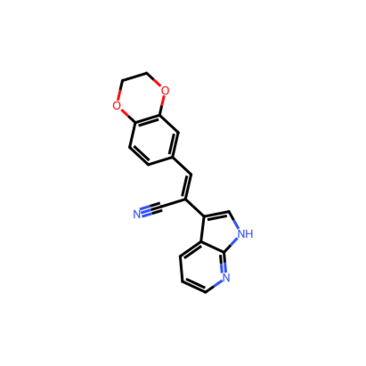 N#CC(=Cc1ccc2c(c1)OCCO2)c1c[nH]c2ncccc12